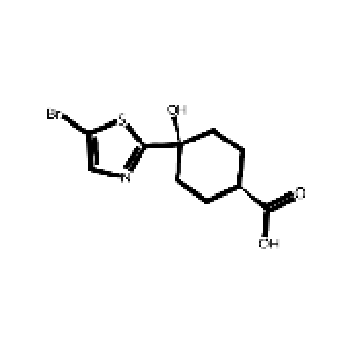 O=C(O)[C@H]1CC[C@](O)(c2ncc(Br)s2)CC1